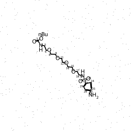 CCCCOC(=O)NCCOCCOCCOCCOCCNS(=O)(=O)c1ccc(N)cc1